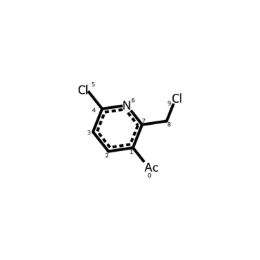 CC(=O)c1ccc(Cl)nc1CCl